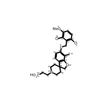 COc1ccc(Cl)c(COc2ccc3c(c2F)OCC32CCN(CCC(=O)O)CC2)c1Cl